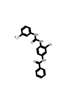 CC(C)c1cc(NC(=O)c2ccccc2)ccc1NC(=O)Nc1cccc(C(F)(F)F)c1